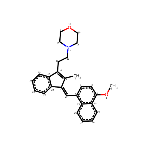 COc1ccc(C=C2C(C)=C(CCN3CCOCC3)c3ccccc32)c2ccccc12